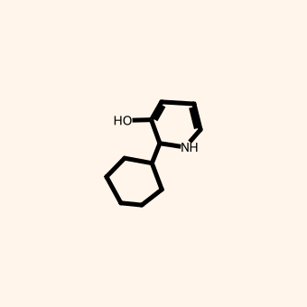 OC1=CC=CNC1C1CCCCC1